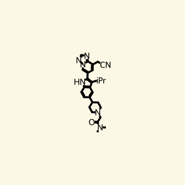 CC(C)c1c(-c2cc(CC#N)c3ncnn3c2)[nH]c2ccc(C3CCN(CC(=O)N(C)C)CC3)cc12